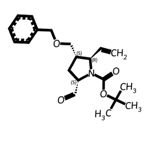 C=C[C@@H]1[C@@H](COCc2ccccc2)C[C@@H](C=O)N1C(=O)OC(C)(C)C